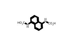 O=C(O)Nc1cccc2c(NC(=O)O)cccc12